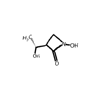 C[C@@H](O)C1CN(O)C1=O